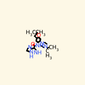 CC(C)N1CCN(c2cc3c(cc2NC(=O)/C(C=N)=C2\N=CC=CN2)CC(C)(C)O3)CC1